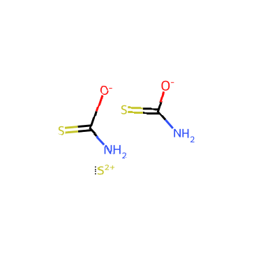 NC([O-])=S.NC([O-])=S.[S+2]